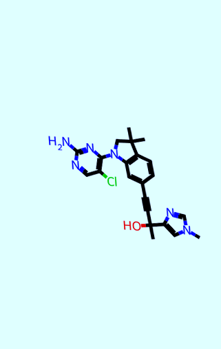 Cn1cnc(C(C)(O)C#Cc2ccc3c(c2)N(c2nc(N)ncc2Cl)CC3(C)C)c1